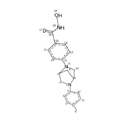 Cc1ccc(N2CC3CC2CN3c2ccc(C(=O)NO)cc2)cc1